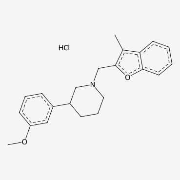 COc1cccc(C2CCCN(Cc3oc4ccccc4c3C)C2)c1.Cl